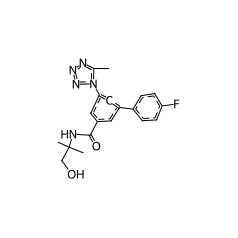 Cc1nnnn1-c1cc(C(=O)NC(C)(C)CO)cc(-c2ccc(F)cc2)c1